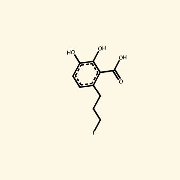 O=C(O)c1c(CCCI)ccc(O)c1O